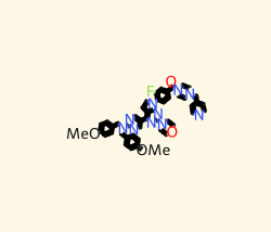 COc1ccc(CN(Cc2ccc(OC)cc2)c2ncc(-c3nc(N4CCOCC4)nc4c3CCN4c3ccc(C(=O)N4CCN(Cc5ccncc5)CC4)cc3F)cn2)cc1